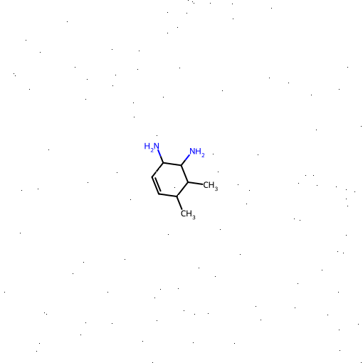 CC1C=CC(N)C(N)C1C